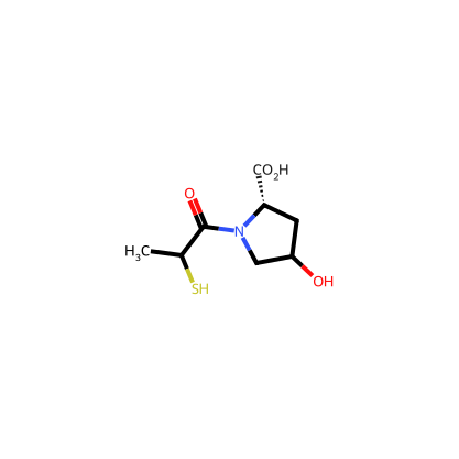 CC(S)C(=O)N1CC(O)C[C@H]1C(=O)O